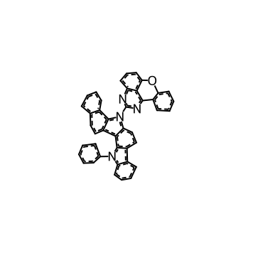 c1ccc(-n2c3ccccc3c3ccc4c(c5ccc6ccccc6c5n4-c4nc5c6c(cccc6n4)Oc4ccccc4-5)c32)cc1